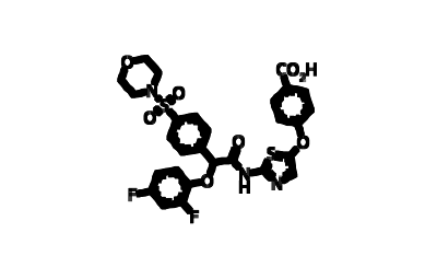 O=C(O)c1ccc(Oc2cnc(NC(=O)C(Oc3ccc(F)cc3F)c3ccc(S(=O)(=O)N4CCOCC4)cc3)s2)cc1